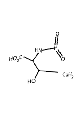 CC(O)C(NP(=O)=O)C(=O)O.[CaH2]